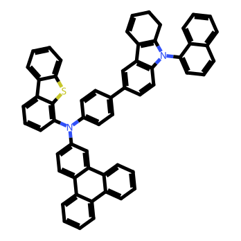 C1=Cc2c(n(-c3cccc4ccccc34)c3ccc(-c4ccc(N(c5ccc6c7ccccc7c7ccccc7c6c5)c5cccc6c5sc5ccccc56)cc4)cc23)CC1